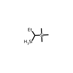 CCC([SiH3])[Si](C)(C)C